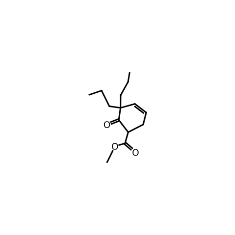 CCCC1(CCC)C=CCC(C(=O)OC)C1=O